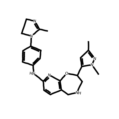 CC1=NCCN1c1ccc(Nc2ccc3c(n2)OC(c2cc(C)nn2C)CNC3)cc1